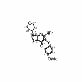 COc1ccc(Cn2c(C(C)C)nc3c(cnn3C3CCOCC3)c2=O)cc1